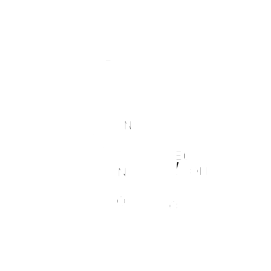 CC[C@@]1(O)COCc2c1cc1n(c2=O)Cc2c-1nc1cc(F)cc3c1c2CCC3